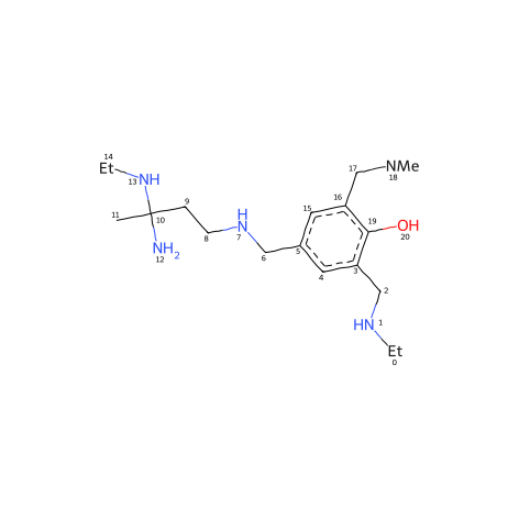 CCNCc1cc(CNCCC(C)(N)NCC)cc(CNC)c1O